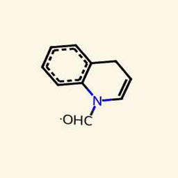 O=[C]N1C=CCc2ccccc21